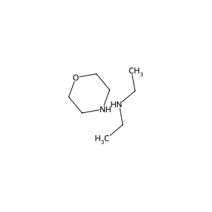 C1COCCN1.CCNCC